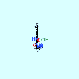 CCCCCCCCCCCCNC(=O)CCCNC(=O)C1CCCN1Cc1nccn1C.Cl